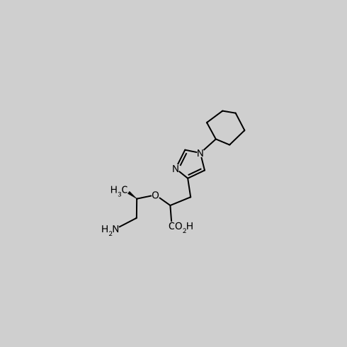 C[C@H](CN)OC(Cc1cn(C2CCCCC2)cn1)C(=O)O